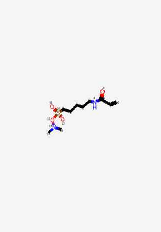 C=CC(=O)NCCCCCS(=O)(=O)ON(C)C